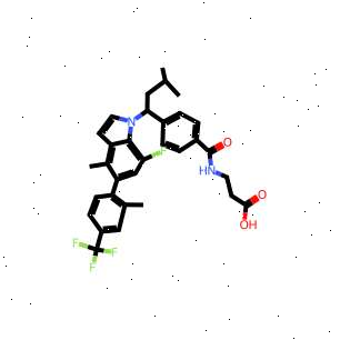 Cc1cc(C(F)(F)F)ccc1-c1cc(F)c2c(ccn2C(CC(C)C)c2ccc(C(=O)NCCC(=O)O)cc2)c1C